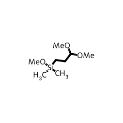 COC(CC[Si](C)(C)OC)OC